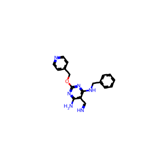 N=Cc1c(N)nc(OCc2ccncc2)nc1NCc1ccccc1